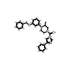 CC1CN(C(=O)n2cnc(-c3ccccc3)c2)CCN1c1cccc(OCc2ccccc2)c1